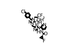 O=C(Nc1ccncc1-n1cnc(CN2N=C(c3ccc(Cl)cc3)N(C[C@H](O)C(F)(F)F)C2O)n1)[C@@H]1C[C@@H]1F